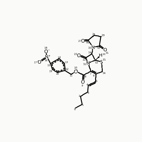 CCCCC=CC1=C(C(=O)OCc2ccc([N+](=O)[O-])cc2)N2C(=O)C(N3C(=O)CCC3=O)[C@@H]2SC1